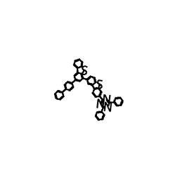 c1ccc(-c2ccc(-c3cc(-c4ccc5sc6cc(-c7nc(-c8ccccc8)nc(-c8ccccc8)n7)ccc6c5c4)c4sc5ccccc5c4c3)cc2)cc1